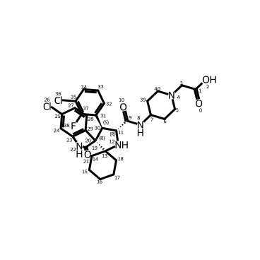 O=C(O)CN1CCC(NC(=O)[C@@H]2NC3(CCCCC3)[C@@]3(C(=O)Nc4cc(Cl)ccc43)[C@H]2c2cccc(Cl)c2F)CC1